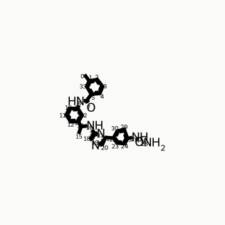 Cc1cccc(C(=O)Nc2cccc(C(C)Nc3cncc(-c4ccc(NON)cc4)n3)c2)c1